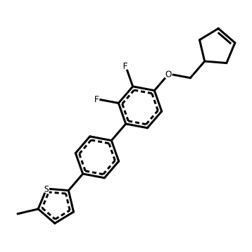 Cc1ccc(-c2ccc(-c3ccc(OCC4CC=CC4)c(F)c3F)cc2)s1